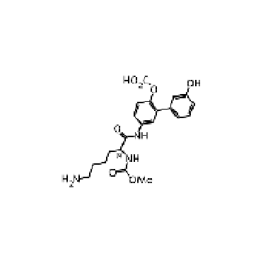 COC(=O)N[C@@H](CCCCN)C(=O)Nc1ccc(OC(=O)O)c(-c2cccc(O)c2)c1